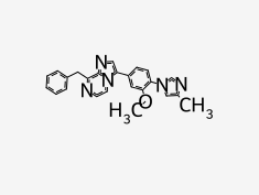 COc1cc(-c2cnc3c(Cc4ccccc4)nccn23)ccc1-n1cnc(C)c1